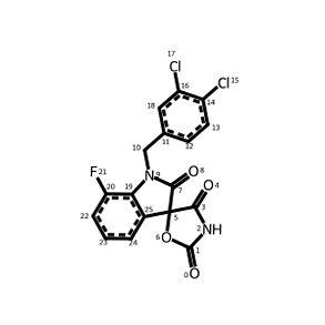 O=C1NC(=O)C2(O1)C(=O)N(Cc1ccc(Cl)c(Cl)c1)c1c(F)cccc12